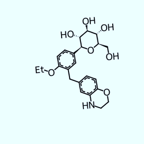 CCOc1ccc([C@@H]2O[C@H](CO)[C@@H](O)[C@H](O)[C@H]2O)cc1Cc1ccc2c(c1)NCCO2